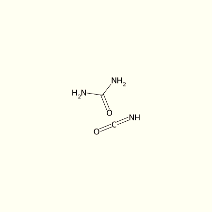 N=C=O.NC(N)=O